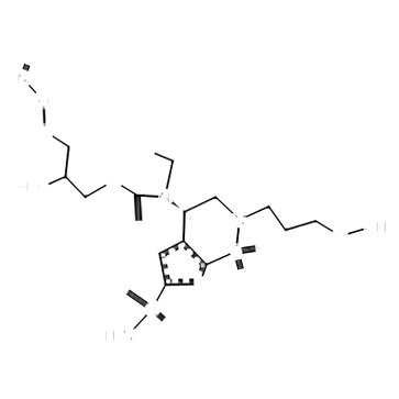 CCN(C(=O)OCC(C)COON=O)[C@H]1CN(CCCOC)S(=O)(=O)c2sc(S(N)(=O)=O)cc21